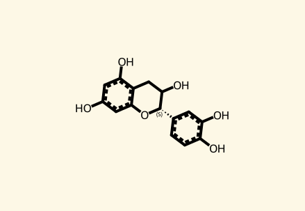 Oc1cc(O)c2c(c1)O[C@@H](c1ccc(O)c(O)c1)C(O)C2